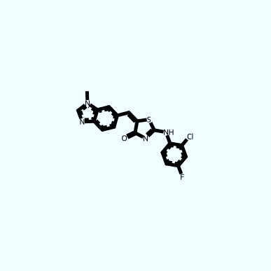 Cn1cnc2ccc(C=C3SC(Nc4ccc(F)cc4Cl)=NC3=O)cc21